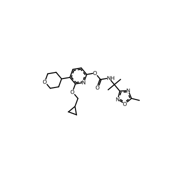 Cc1nc(C(C)(C)NC(=O)Oc2ccc(C3CCOCC3)c(OCC3CC3)n2)no1